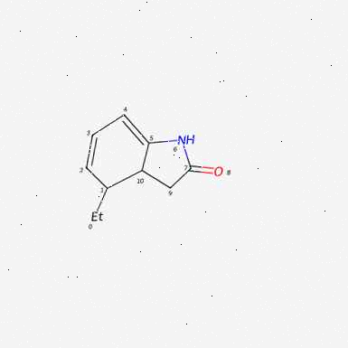 CCC1C=CC=C2NC(=O)CC21